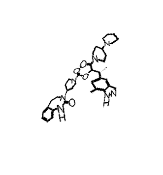 Cc1cc([C@@H](C)C(OC(=O)N2CCC(N3CCc4ccccc4NC3=O)CC2)C(=O)N2CCC(N3CCCCC3)CC2)cc2cn[nH]c12